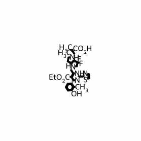 CCOC(=O)C1=C(CN2CC(F)(F)[C@H]3[C@@H]2CCN3CC(C)(C)C(=O)O)NC(c2nccs2)=N[C@@H]1c1cccc(O)c1C